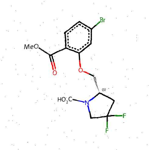 COC(=O)c1ccc(Br)cc1OC[C@@H]1CC(F)(F)CN1C(=O)O